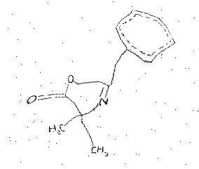 CC1(C)N=C(c2ccccc2)OC1=O